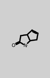 O=C1CC2C=CCC2[N]1